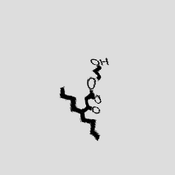 CCCCC(CCCC)C(=O)CC(=O)OCCCO